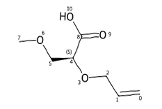 C=CCO[C@@H](COC)C(=O)O